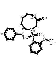 O=S(=O)(c1ccccc1OC(F)(F)F)N1CC(=S)NCCC[C@H]1Cc1ccccc1